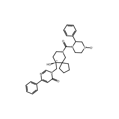 O=C(N1CC[C@@](O)(Cn2cnc(-c3ccccc3)cc2=O)C2(CCCC2)C1)N1CC[S+]([O-])CC1c1ccccc1